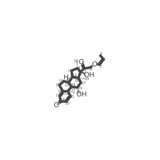 C/C=C\OCC(=O)[C@@]1(O)[C@@H](C)CC2[C@@H]3CCC4=CC(=O)C=C[C@]4(C)C3[C@@H](O)C[C@@]21C